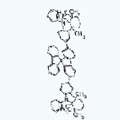 CC1(C)CCCC2(C)c3cc(-c4ccc5c(c4)C4(c6ccccc6-c6ccccc64)c4cc(-c6ccc7c(c6)C6(C)CCCC(C)(C)C6(C)N7c6ccccc6)ccc4-5)ccc3N(c3ccccc3)C12C